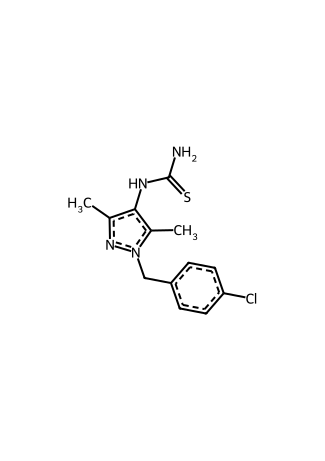 Cc1nn(Cc2ccc(Cl)cc2)c(C)c1NC(N)=S